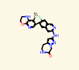 Cc1c(-c2cc3cc(Nc4cc5n(n4)CC(=O)NCC5)ncc3cc2F)cnc2c1NCCO2